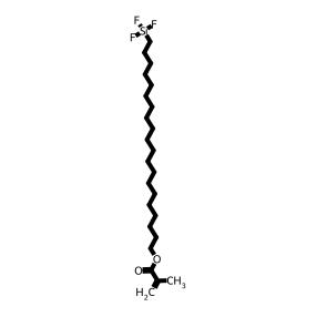 C=C(C)C(=O)OCCCCCCCCCCCCCCCCCCCC[Si](F)(F)F